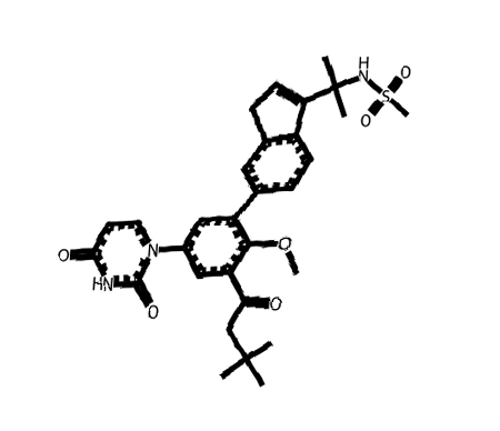 COc1c(C(=O)CC(C)(C)C)cc(-n2ccc(=O)[nH]c2=O)cc1-c1ccc2c(c1)CC=C2C(C)(C)NS(C)(=O)=O